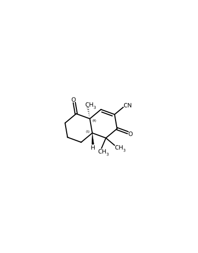 CC1(C)C(=O)C(C#N)=C[C@]2(C)C(=O)CCC[C@@H]12